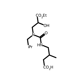 CCOC(=O)C(O)CN(CC(C)C)C(=O)NCC(C)CC(=O)O